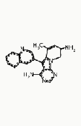 CC1=CC(N)Cn2c1c(-c1cnc3ccccc3c1)c1c(N)ncnc12